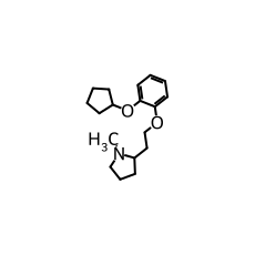 CN1CCCC1CCOc1ccccc1OC1CCCC1